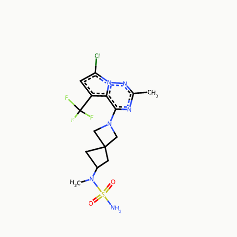 Cc1nc(N2CC3(CC(N(C)S(N)(=O)=O)C3)C2)c2c(C(F)(F)F)cc(Cl)n2n1